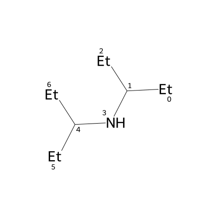 CCC(CC)NC(CC)CC